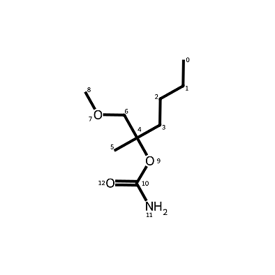 CCCCC(C)(COC)OC(N)=O